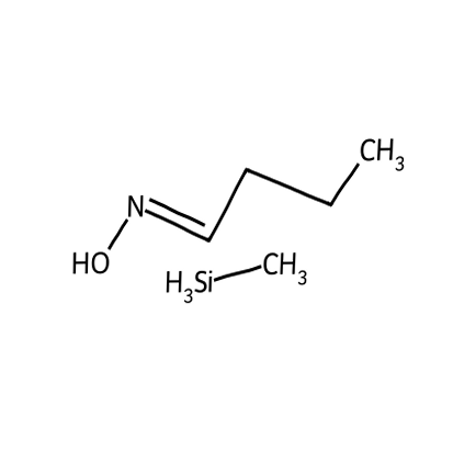 CCCC=NO.C[SiH3]